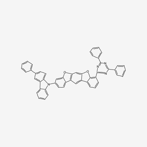 c1ccc(-c2ccc3c(c2)c2ccccc2n3-c2ccc3c(c2)oc2cc4oc5c(-c6nc(-c7ccccc7)nc(-c7ccccc7)n6)cccc5c4cc23)cc1